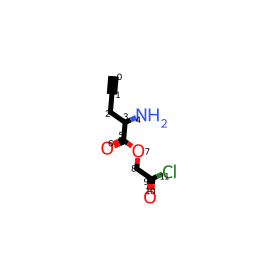 C#CCC(N)C(=O)OCC(=O)Cl